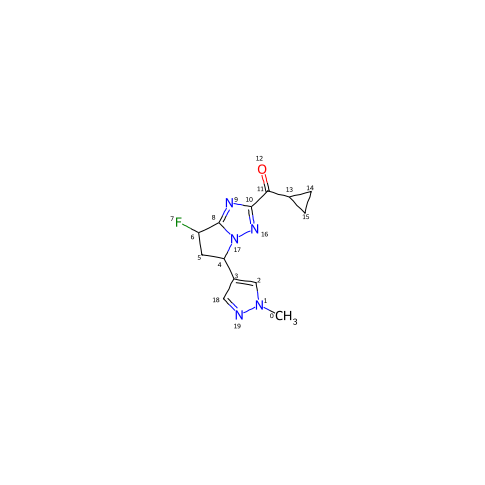 Cn1cc(C2CC(F)c3nc(C(=O)C4CC4)nn32)cn1